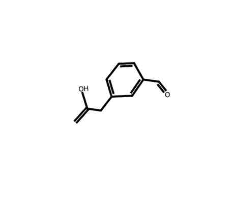 C=C(O)Cc1cccc(C=O)c1